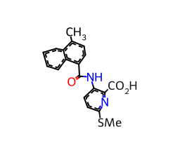 CSc1ccc(NC(=O)c2ccc(C)c3ccccc23)c(C(=O)O)n1